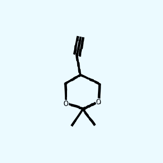 C#CC1COC(C)(C)OC1